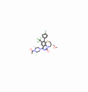 COC[C@H]1CSc2c(-c3ccc(F)cc3)c(C(F)(F)F)cc3c(N4C[C@@H](C)N(C(C)=O)[C@@H](C)C4)nc(=O)n(c23)C1